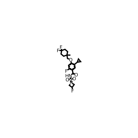 CC1(COc2cc(F)c(C(=O)NS(=O)(=O)N3CC(F)C3)cc2C2CC2)CCC(F)(F)CC1